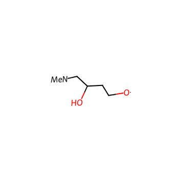 CNCC(O)CC[O]